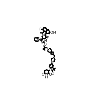 CCc1c(F)ccc2cc(O)cc(-c3ncc4c(N5CC6CCC(C5)N6)nc(OCC5(CN6CCC7(CC6)CC(CN6CCN(c8ccc9c(c8)C(C)(C)C(=O)N9C8CCC(=O)NC8=O)CC6)C7)CC5)nc4c3F)c12